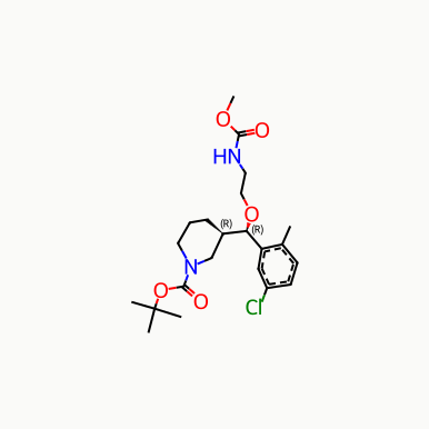 COC(=O)NCCO[C@@H](c1cc(Cl)ccc1C)[C@@H]1CCCN(C(=O)OC(C)(C)C)C1